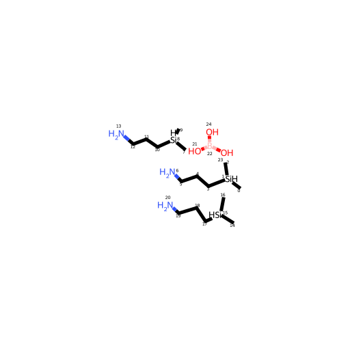 C[SiH](C)CCCN.C[SiH](C)CCCN.C[SiH](C)CCCN.OB(O)O